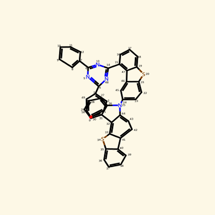 c1ccc(-c2nc(-c3ccccc3)nc(-c3cccc4sc5ccc(-n6c7ccccc7c7c8sc9ccccc9c8ccc76)cc5c34)n2)cc1